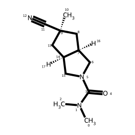 CN(C)C(=O)N1C[C@@H]2C[C@](C)(C#N)C[C@@H]2C1